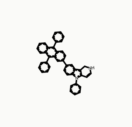 C1=Cc2c(c3cc(-c4ccc5c(-c6ccccc6)c6ccccc6c(-c6ccccc6)c5c4)ccc3n2-c2ccccc2)CN1